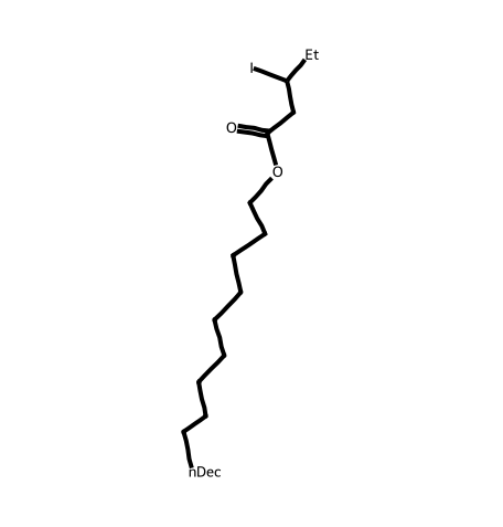 CCCCCCCCCCCCCCCCCCCOC(=O)CC(I)CC